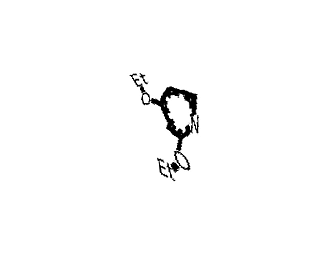 CCOc1ccnc(OCC)c1